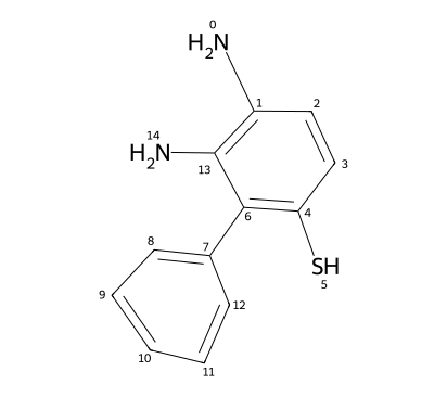 Nc1ccc(S)c(-c2ccccc2)c1N